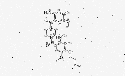 CCCCOc1c(OC)cc(C(=O)N2CCN(C(=O)c3cc(OC)c(C)cc3N)CC2)c(NC)c1C